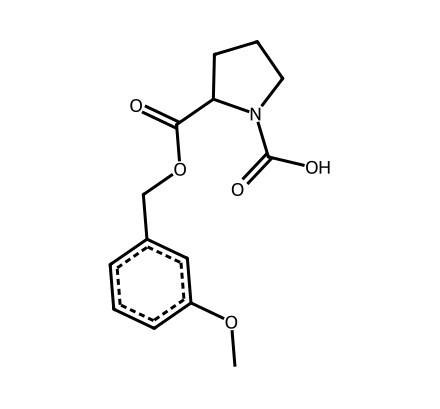 COc1cccc(COC(=O)C2CCCN2C(=O)O)c1